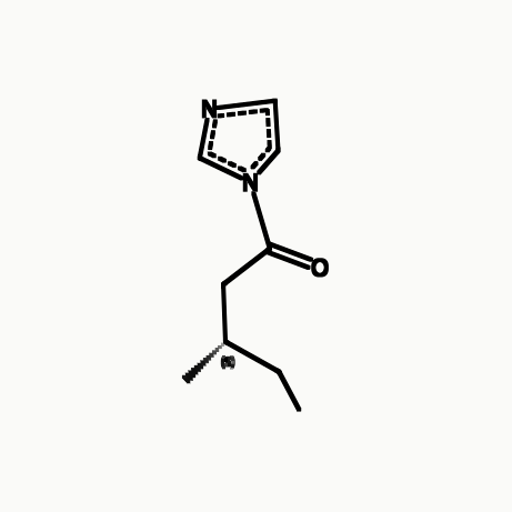 CC[C@H](C)CC(=O)n1ccnc1